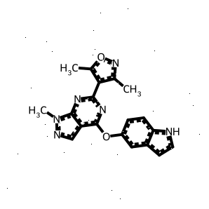 Cc1noc(C)c1-c1nc(Oc2ccc3[nH]ccc3c2)c2cnn(C)c2n1